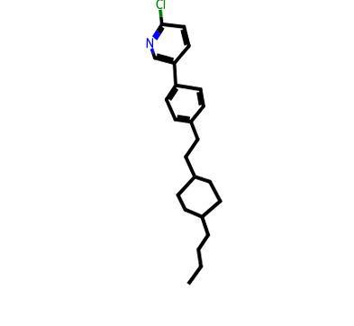 CCCCC1CCC(CCc2ccc(-c3ccc(Cl)nc3)cc2)CC1